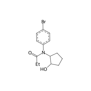 CCC(=O)N(c1ccc(Br)cc1)C1CCCC1O